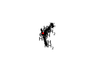 CCCCNC(=O)[C@H](CC(=O)NCCNCCN)NC(C)(C)C(C)(C)C(=O)[C@@H](N)CC(=O)NCCN(C(C)C)C(C)C